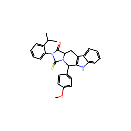 COc1ccc(C2c3[nH]c4ccccc4c3CC3C(=O)N(c4ccccc4C(C)C)C(=S)N32)cc1